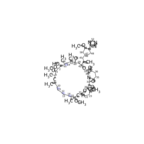 COC1C(=O)C(C)C[C@H](C)/C=C/C=C/C=C(\C)[C@@H](OC)C[C@@H]2CC[C@@H](C)[C@@](O)(O2)C(=O)C(=O)N2CCCC[C@H]2C(=O)O[C@H]([C@H](C)CC2CC[C@H](n3ncnn3)[C@H](OC)C2)CC(=O)[C@H](C)/C=C(\C)[C@H]1O